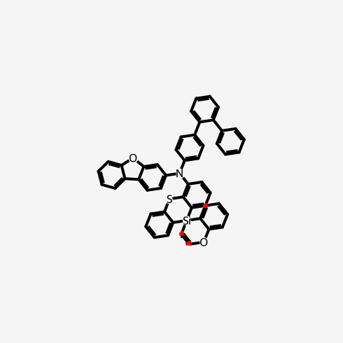 c1ccc(-c2ccccc2-c2ccc(N(c3ccc4c(c3)oc3ccccc34)c3cccc4c3Sc3ccccc3[Si]43c4ccccc4Oc4ccccc43)cc2)cc1